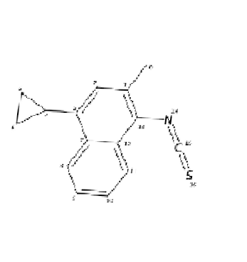 Cc1cc(C2CC2)c2ccccc2c1N=C=S